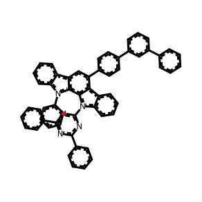 c1ccc(-c2cccc(-c3ccc(-c4cc5c6ccccc6n(-c6ccccc6)c5c5c4c4ccccc4n5-c4nc(-c5ccccc5)nc(-c5ccccc5)n4)cc3)c2)cc1